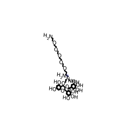 NCCOCCOCCOCCOCCOCC/C(N)=C/N(N)CCOC1c2c(O)cc(O)cc2OC(c2cc(O)c(O)c(O)c2)C1OC(=O)c1cc(O)c(O)c(O)c1